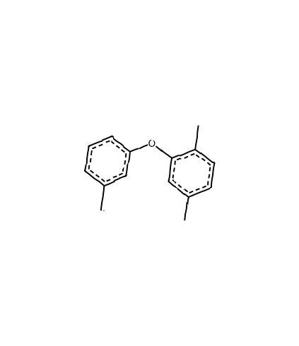 [CH2]c1cccc(Oc2cc(C)ccc2C)c1